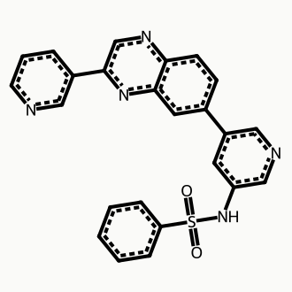 O=S(=O)(Nc1cncc(-c2ccc3ncc(-c4cccnc4)nc3c2)c1)c1ccccc1